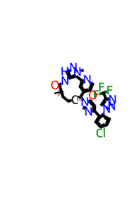 C[C@@H]1CCC[C@H](n2cnc(-c3cc(Cl)ccc3-n3cc(C(F)(F)F)nn3)cc2=O)c2ccnc(c2)-c2c(cnn2C)NC1=O